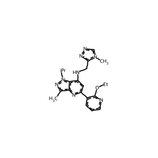 CCOc1ncccc1-c1cc(NCc2nncn2C)c2c(n1)c(C)nn2C(C)C